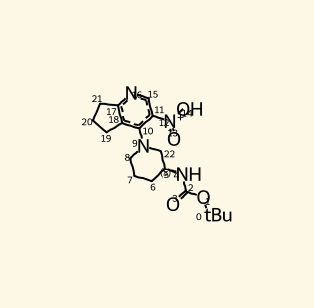 CC(C)(C)OC(=O)N[C@H]1CCCN(c2c([N+](=O)O)cnc3c2CCC3)C1